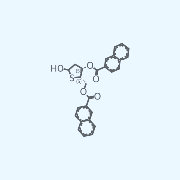 O=C(OC[C@@H]1SC(O)C[C@@H]1OC(=O)c1ccc2ccccc2c1)c1ccc2ccccc2c1